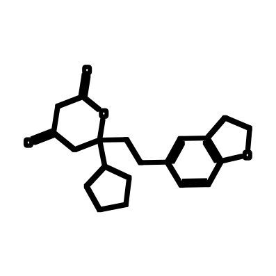 O=C1CC(=O)OC(CCc2ccc3c(c2)CCO3)(C2CCCC2)C1